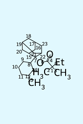 CCC(C)(C)C(=O)OC1(C2CCCC(C)C2)C2CC3CC(C2)CC1C3